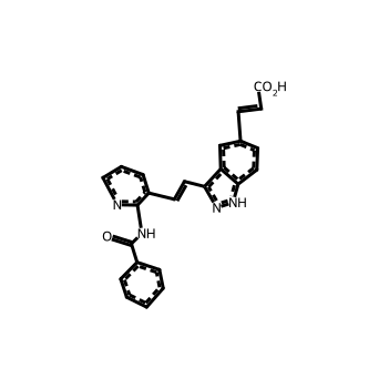 O=C(O)C=Cc1ccc2[nH]nc(C=Cc3cccnc3NC(=O)c3ccccc3)c2c1